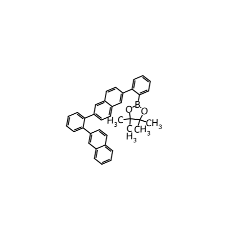 CC1(C)OB(c2ccccc2-c2ccc3cc(-c4ccccc4-c4ccc5ccccc5c4)ccc3c2)OC1(C)C